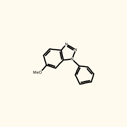 COc1ccc2nnn(-c3ccccc3)c2c1